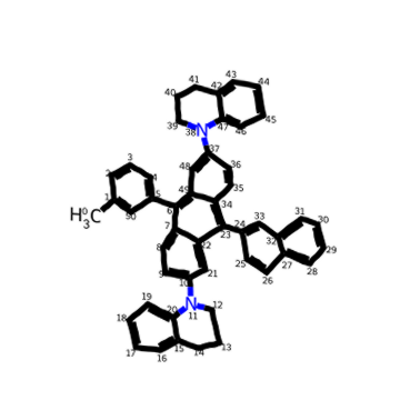 Cc1cccc(-c2c3ccc(N4CCCc5ccccc54)cc3c(-c3ccc4ccccc4c3)c3ccc(N4CCCc5ccccc54)cc23)c1